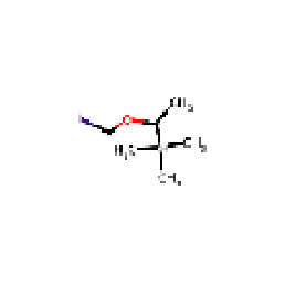 CC(OCI)[Si](C)(C)C